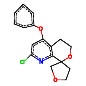 Clc1cc(Oc2ccccc2)c2c(n1)C1(CCOC1)OCC2